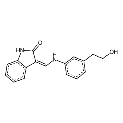 O=C1Nc2ccccc2C1=CNc1cccc(CCO)c1